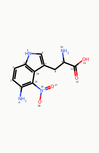 Nc1ccc2[nH]cc(CC(N)C(=O)O)c2c1[N+](=O)[O-]